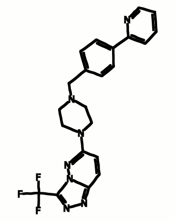 FC(F)(F)c1nnc2ccc(N3CCN(Cc4ccc(-c5ccccn5)cc4)CC3)nn12